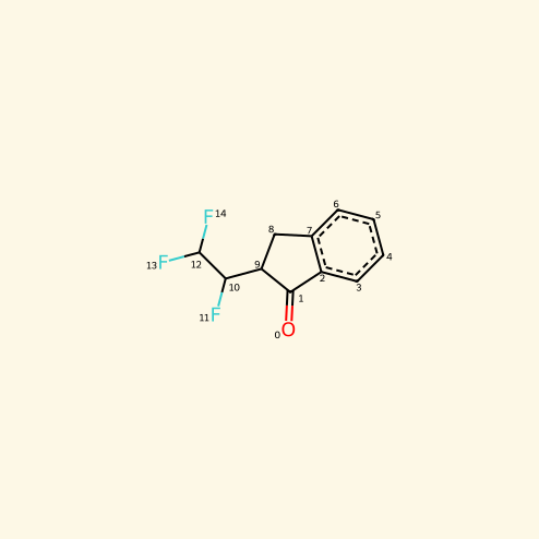 O=C1c2ccccc2CC1C(F)C(F)F